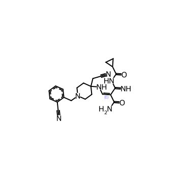 N#CCC1(N/C=C(\C(=N)NC(=O)C2CC2)C(N)=O)CCN(Cc2ccccc2C#N)CC1